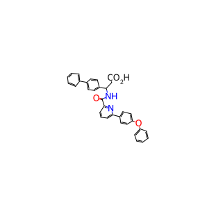 O=C(O)CC(NC(=O)c1cccc(-c2ccc(Oc3ccccc3)cc2)n1)c1ccc(-c2ccccc2)cc1